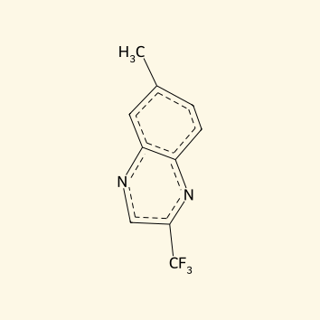 Cc1ccc2nc(C(F)(F)F)cnc2c1